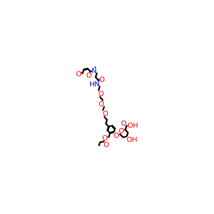 CCC(=O)OCc1cc(CCCOCCOCCOCCNC(=O)CCN(C)C(=O)/C=C\C=O)ccc1OC1CC(O)CC(C(=O)O)O1